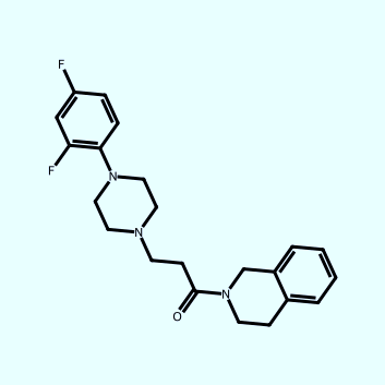 O=C(CCN1CCN(c2ccc(F)cc2F)CC1)N1CCc2ccccc2C1